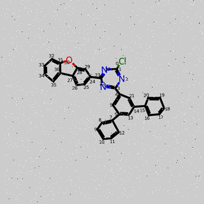 Clc1nc(-c2cc(-c3ccccc3)cc(-c3ccccc3)c2)nc(-c2ccc3c(c2)oc2ccccc23)n1